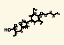 C=C(Cc1nc(-c2cc(F)c(OCCCC)c(F)c2)no1)C(=O)O